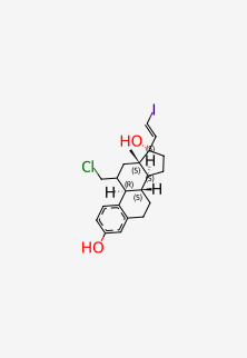 C[C@]12CC(CCl)[C@@H]3c4ccc(O)cc4CC[C@H]3[C@@H]1CC[C@]2(O)C=CI